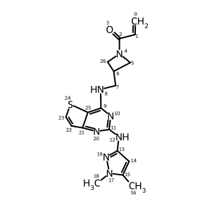 C=CC(=O)N1CC(CNc2nc(Nc3cc(C)n(C)n3)nc3ccsc23)C1